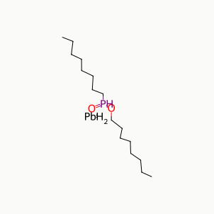 CCCCCCCCO[PH](=O)CCCCCCCC.[PbH2]